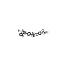 CC(C)OC(=O)N1CCC(OCc2noc(-c3ccc(N4CC(c5ccccc5F)[C@@H](N)C4)nc3)n2)CC1